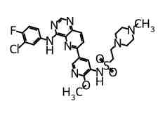 COc1ncc(-c2ccc3ncnc(Nc4ccc(F)c(Cl)c4)c3n2)cc1NS(=O)(=O)CCN1CCN(C)CC1